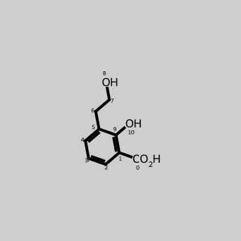 O=C(O)c1c[c]cc(CCO)c1O